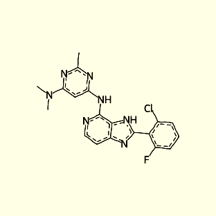 Cc1nc(Nc2nccc3nc(-c4c(F)cccc4Cl)[nH]c23)cc(N(C)C)n1